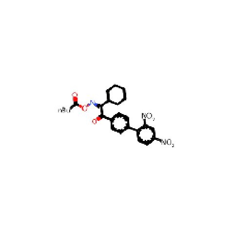 CCCCC(=O)O/N=C(\C(=O)c1ccc(-c2ccc([N+](=O)[O-])cc2[N+](=O)[O-])cc1)C1CCCCC1